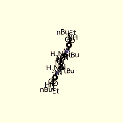 CCCCC(CC)CNS(=O)(=O)c1ccc(/N=N/c2c(C(C)(C)C)nn(-c3ncnc(-n4nc(C(C)(C)C)c(/N=N/c5ccc(S(=O)(=O)NCC(CC)CCCC)cc5)c4N)n3)c2N)cc1